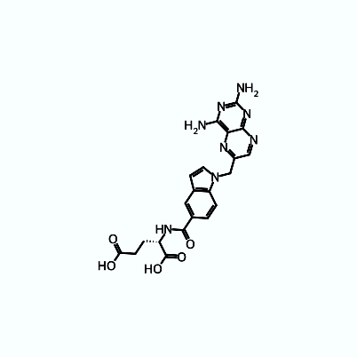 Nc1nc(N)c2nc(Cn3ccc4cc(C(=O)N[C@@H](CCC(=O)O)C(=O)O)ccc43)cnc2n1